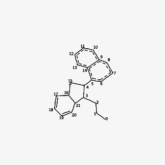 CCCC1C(c2cccc3ccccc23)[C]C2C=CC=CC21